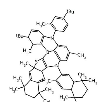 CC1=CC2C(C=C1N1C3=C(SC4(C)C=C5C(=CC34)C(C)(C)CCC5(C)C)B3C4=C(C=CC(C(C)(C)C)C4C)N(c4ccc(C(C)(C)C)cc4C)c4cc(C)cc1c43)C(C)(C)CCC2(C)C